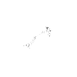 Cc1sc2c(c1C)C(c1ccc(Cl)cc1)=N[C@@H](CC(=O)NCCCCCCCCN1CCN(c3ccc(NC4CCC(=O)NC4=O)cc3)CC1)c1nnc(C)n1-2